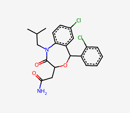 CC(C)CN1C(=O)C(CC(N)=O)OC(c2ccccc2Cl)c2cc(Cl)ccc21